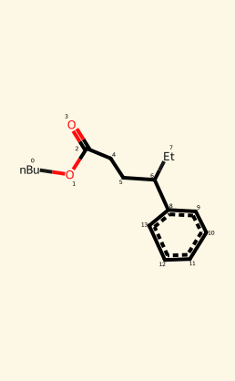 CCCCOC(=O)CCC(CC)c1ccccc1